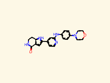 O=C1NCCc2[nH]c(-c3ccnc(Nc4ccc(N5CCOCC5)cc4)c3)cc21